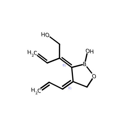 C=C/C=C1/COB(O)/C1=C(/C=C)CO